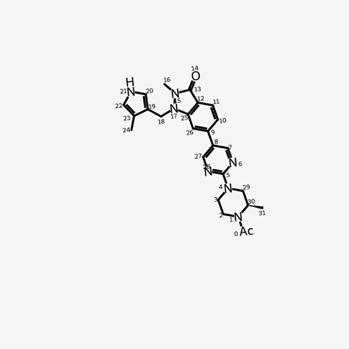 CC(=O)N1CCN(c2ncc(-c3ccc4c(=O)n(C)n(Cc5c[nH]cc5C)c4c3)cn2)C[C@H]1C